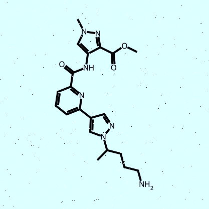 COC(=O)c1nn(C)cc1NC(=O)c1cccc(-c2cnn(C(C)CCCN)c2)n1